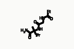 CCC(=O)NCC(=O)NC(C)(C(N)=O)C(C)C